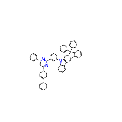 c1ccc(-c2ccc(-c3cc(-c4ccccc4)nc(-c4cccc(-n5c6ccccc6c6cc7c(cc65)C(c5ccccc5)(c5ccccc5)c5ccccc5-7)c4)n3)cc2)cc1